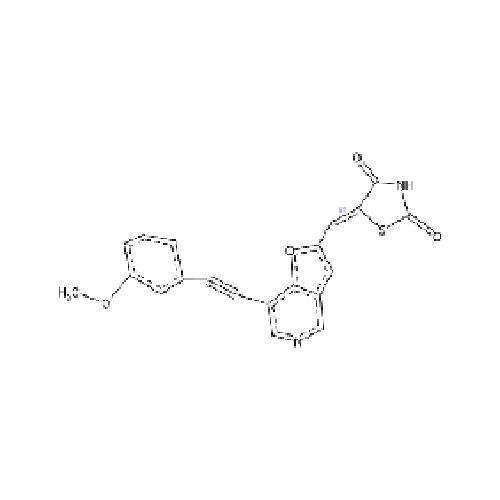 COc1cccc(C#Cc2cncc3cc(/C=C4\SC(=O)NC4=O)oc23)c1